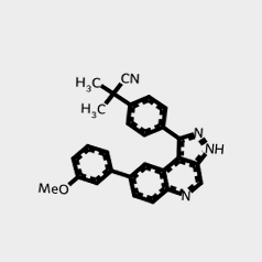 COc1cccc(-c2ccc3ncc4[nH]nc(-c5ccc(C(C)(C)C#N)cc5)c4c3c2)c1